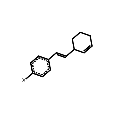 Brc1ccc(C=CC2C=CCCC2)cc1